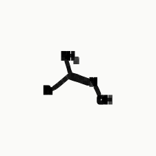 B/C(Br)=N/O